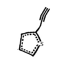 C#Cc1c[c]cs1